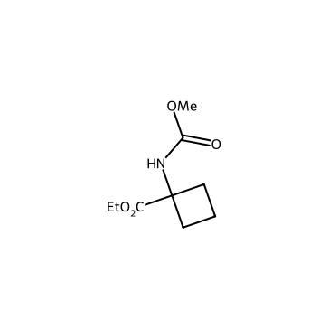 CCOC(=O)C1(NC(=O)OC)CCC1